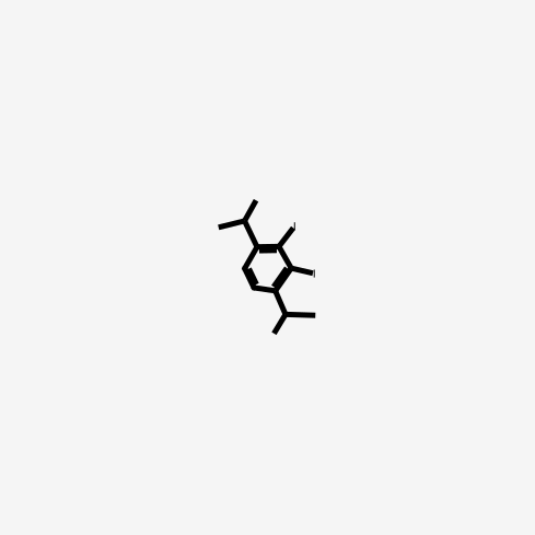 CC(C)c1ccc(C(C)C)c(I)c1I